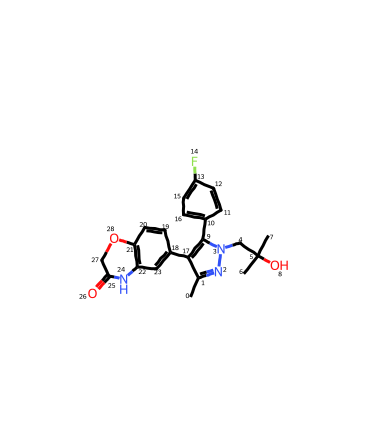 Cc1nn(CC(C)(C)O)c(-c2ccc(F)cc2)c1-c1ccc2c(c1)NC(=O)CO2